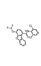 O=C(Nc1c(Cl)cncc1Cl)c1ccc(OC(F)F)c2oc3ccccc3c12